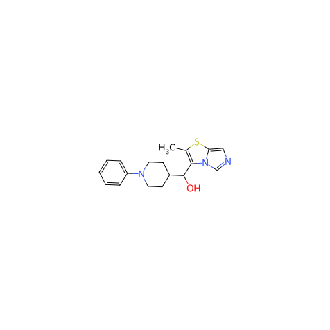 Cc1sc2cncn2c1C(O)C1CCN(c2ccccc2)CC1